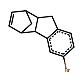 Brc1ccc2c(c1)C1C3C=CC(C3)C1C2